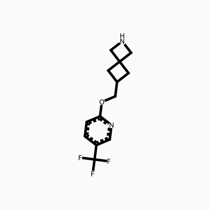 FC(F)(F)c1ccc(OCC2CC3(CNC3)C2)nc1